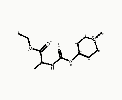 CCOC(=O)C(C)NC(=O)OC1CCN(C)CC1